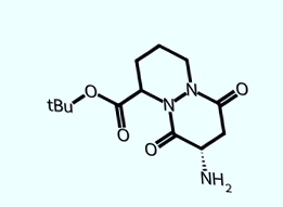 CC(C)(C)OC(=O)C1CCCN2C(=O)C[C@H](N)C(=O)N12